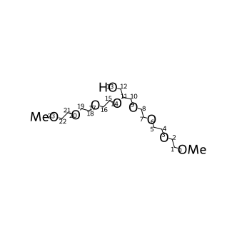 COCCOCCOCCOCC(CO)OCCOCCOCCOC